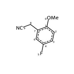 COc1ccc(F)cc1CC#N